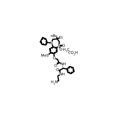 CC(=O)O.CCCCC1(CC)CN(c2ccccc2)c2cc(SC)c(OCC(=O)N[C@@H](C(=O)NCCN)c3ccccc3)cc2S(=O)(=O)C1